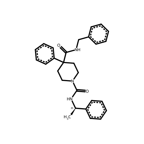 C[C@@H](NC(=O)N1CCC(C(=O)NCc2ccccc2)(c2ccccc2)CC1)c1ccccc1